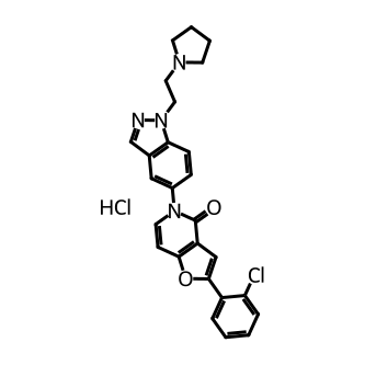 Cl.O=c1c2cc(-c3ccccc3Cl)oc2ccn1-c1ccc2c(cnn2CCN2CCCC2)c1